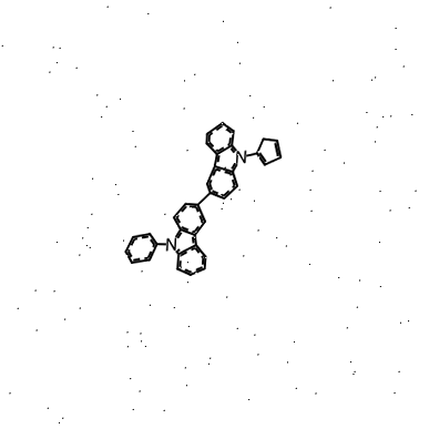 C1=CCC(n2c3ccccc3c3cc(-c4ccc5c(c4)c4ccccc4n5-c4ccccc4)ccc32)=C1